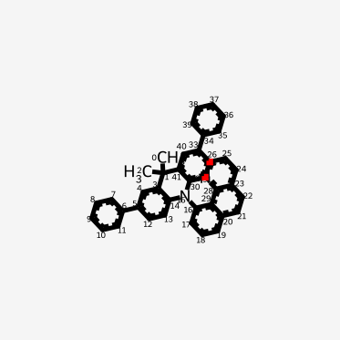 CC1(C)c2cc(-c3ccccc3)ccc2N(c2cccc3ccc4cccnc4c23)c2ccc(-c3ccccc3)cc21